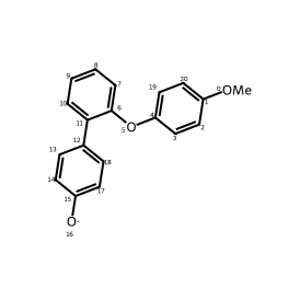 COc1ccc(Oc2ccccc2-c2ccc([O])cc2)cc1